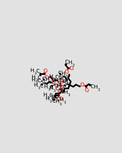 C=CC(=O)OCCCC(CCCOC(=O)C=C)(CCCOC(=O)C=C)[Si](C)(CC[Si](C)(C)C)O[Si](CCCOC(=O)C(=C)C)(O[Si](C)(C)CC[Si](C)(C)C)O[Si](C)(C)CC[Si](C)(C)C